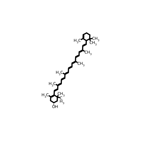 CC1=CCCC(C)(C)C1/C=C/C(C)=C/C=C/C(C)=C/C=C/C=C(C)/C=C/C=C(C)/C=C/C1=C(C)C[C@@H](O)CC1(C)C